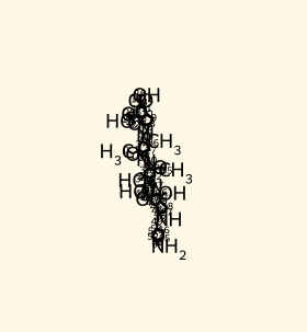 COc1cc(N=Nc2ccc3cc(S(=O)(=O)O)cc(S(=O)(=O)O)c3c2)c(C)cc1N=Nc1cc(O)c(N=Nc2c(S(=O)(=O)O)cc3cc(NCc4ccc(N)cc4)ccc3c2O)cc1OC